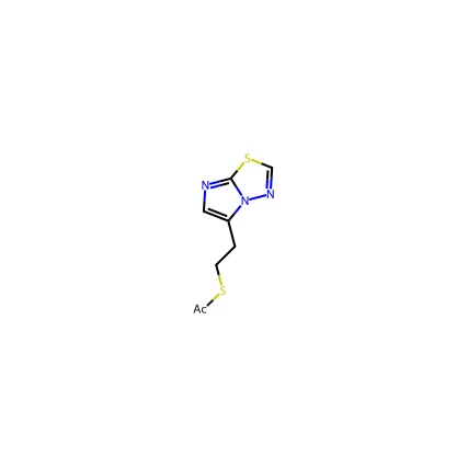 CC(=O)SCCc1cnc2scnn12